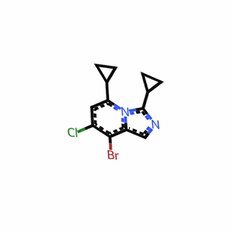 Clc1cc(C2CC2)n2c(C3CC3)ncc2c1Br